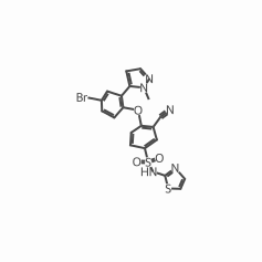 Cn1nccc1-c1cc(Br)ccc1Oc1ccc(S(=O)(=O)Nc2nccs2)cc1C#N